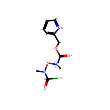 CN(SN(C)C(=O)OCc1ccccn1)C(=O)F